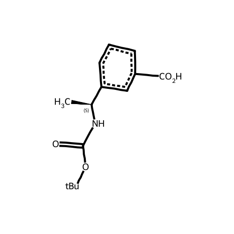 C[C@H](NC(=O)OC(C)(C)C)c1cccc(C(=O)O)c1